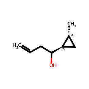 C=CCC(O)[C@@H]1C[C@H]1C